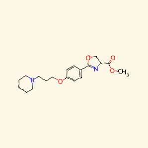 COC(=O)C1COC(c2ccc(OCCCN3CCCCC3)cc2)=N1